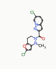 CN1c2cc(Cl)oc2CCN1C(=O)c1cc2ccc(Cl)cn2n1